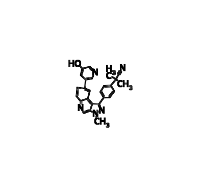 Cn1nc(-c2ccc(C(C)(C)C#N)cc2)c2c3cc(-c4cncc(O)c4)ccc3ncc21